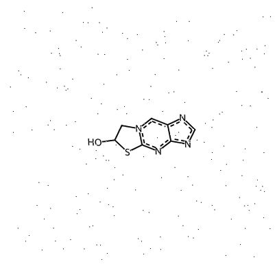 OC1Cn2cc3ncnc-3nc2S1